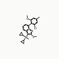 COc1cc(C)cc(Cl)c1-c1cccc2c([N+](C)(C3CC3)C3CC3)c(SC)nn12